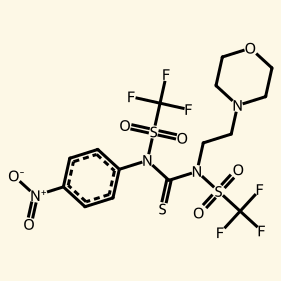 O=[N+]([O-])c1ccc(N(C(=S)N(CCN2CCOCC2)S(=O)(=O)C(F)(F)F)S(=O)(=O)C(F)(F)F)cc1